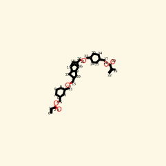 C=CC(=O)OCC1CCCC(COCC2CC3C4CC(COCC5CCC(COC(=O)C(=C)C)CC5)C(C4)C3C2)C1